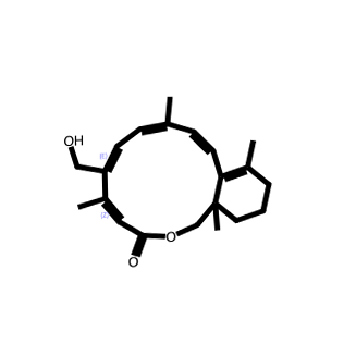 CC1=C/C=C(CO)\C(C)=C/C(=O)OCC2(C)CCCC(C)=C2C=C1